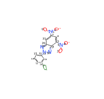 O=[N+]([O-])c1cc([N+](=O)[O-])c2nn(-c3cccc(Cl)c3)nc2c1